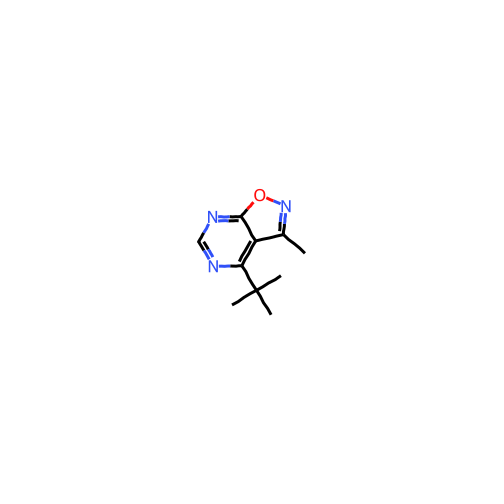 Cc1noc2ncnc(C(C)(C)C)c12